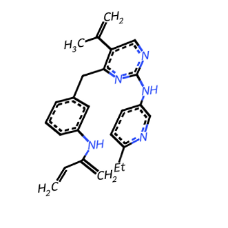 C=CC(=C)Nc1cccc(Cc2nc(Nc3ccc(CC)nc3)ncc2C(=C)C)c1